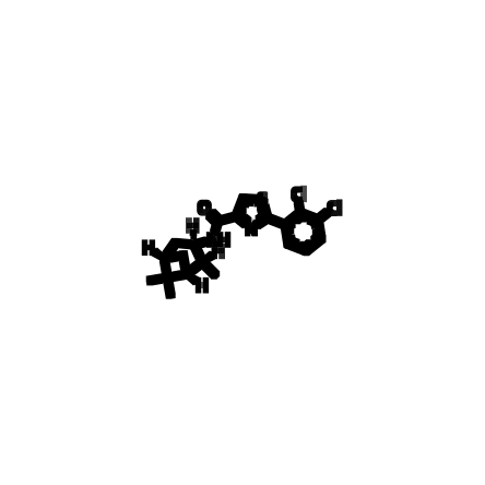 C[C@@H]1[C@H]2C[C@@H](C[C@H]1NC(=O)c1csc(-c3cccc(Cl)c3Cl)n1)C2(C)C